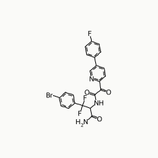 NC(=O)C(NC(=O)C(=O)c1ccc(-c2ccc(F)cc2)cn1)C(F)(F)c1ccc(Br)cc1